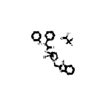 O=C(O[C@H]1C[N+]2(Cc3nc4ccccc4[nH]3)CCC1CC2)[C@H](Nc1ccccc1)c1ccccc1.O=C([O-])C(F)(F)F